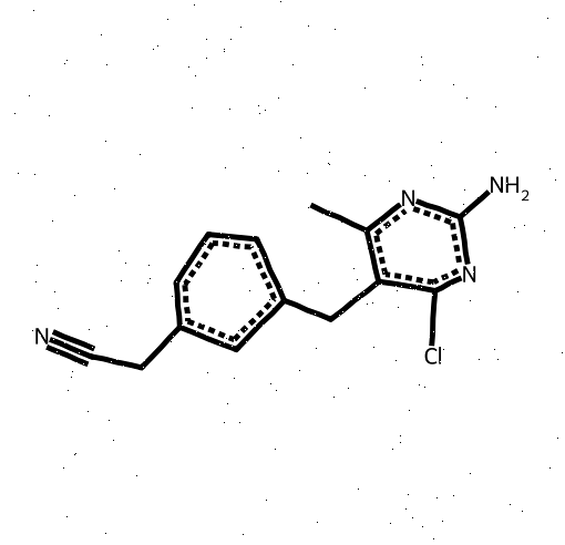 Cc1nc(N)nc(Cl)c1Cc1cccc(CC#N)c1